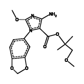 COCC(C)(C)OC(=O)c1c(N)nc(OC)n1-c1ccc2c(c1)OCO2